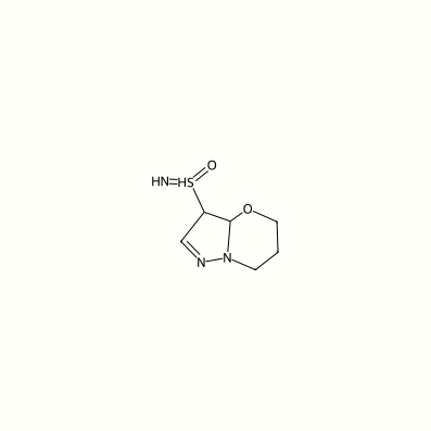 N=[SH](=O)C1C=NN2CCCOC12